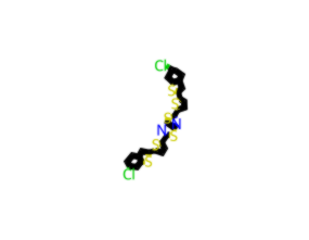 Clc1ccc2cc(-c3ccc(-c4nc5sc(-c6ccc(-c7cc8ccc(Cl)cc8s7)s6)nc5s4)s3)sc2c1